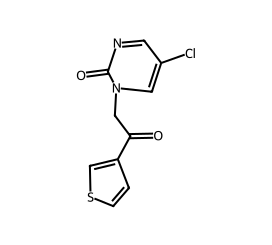 O=C(Cn1cc(Cl)cnc1=O)c1ccsc1